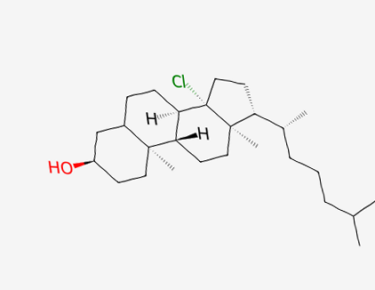 CC(C)CCC[C@@H](C)[C@H]1CC[C@]2(Cl)[C@@H]3CCC4C[C@H](O)CC[C@]4(C)[C@H]3CC[C@]12C